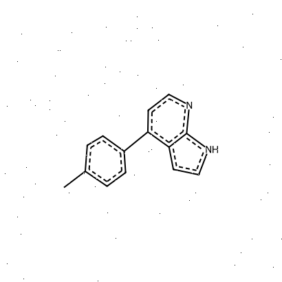 Cc1ccc(-c2ccnc3[nH]ccc23)cc1